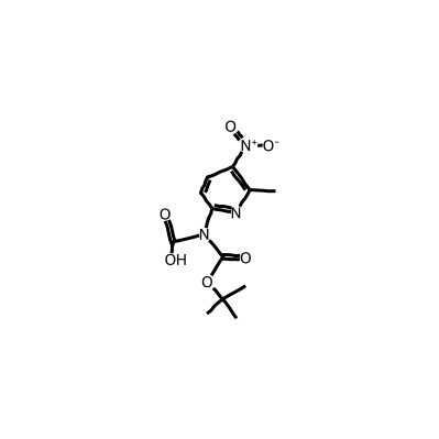 Cc1nc(N(C(=O)O)C(=O)OC(C)(C)C)ccc1[N+](=O)[O-]